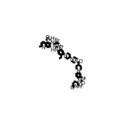 CCc1cc(Nc2ncc(Br)c(Nc3ccc4nc(C)ccc4c3P(C)(C)=O)n2)c(OC)cc1N1CCC(N2CCN(C(=O)C3CCN(c4ccc5c(c4)n(C)c(=O)n5C4CCC(=O)NC4=O)CC3)CC2)CC1